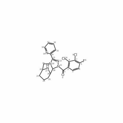 O=C(c1ccc(F)c(Cl)c1Cl)N1N=C(c2ccccn2)N2CC3CCCC(N3)C21